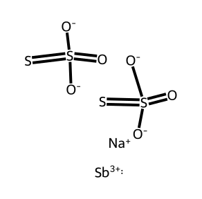 O=S([O-])([O-])=S.O=S([O-])([O-])=S.[Na+].[Sb+3]